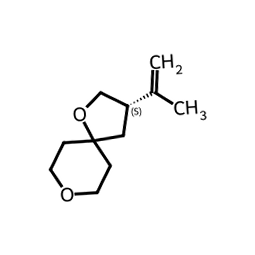 C=C(C)[C@H]1COC2(CCOCC2)C1